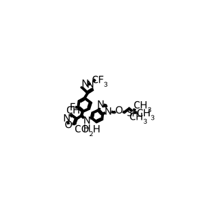 Cc1noc(C(=O)O)c1C(Nc1ccc2c(c1)ncn2COCC[Si](C)(C)C)c1ccc(-c2cnn(C(F)(F)F)c2)cc1F